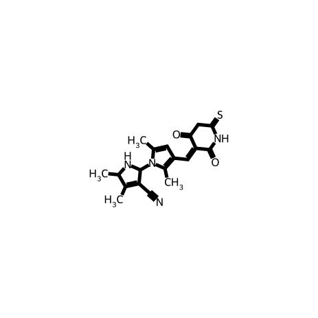 CC1=C(C#N)C(n2c(C)cc(/C=C3\C(=O)CC(=S)NC3=O)c2C)NC1C